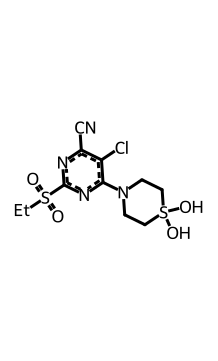 CCS(=O)(=O)c1nc(C#N)c(Cl)c(N2CCS(O)(O)CC2)n1